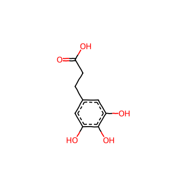 O=C(O)CCc1cc(O)c(O)c(O)c1